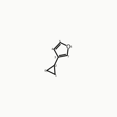 [CH]1CC1c1ccoc1